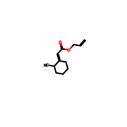 C=CCOC(=O)C=C1CCCCC1C#N